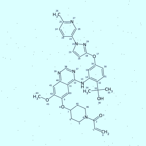 C=CC(=O)N1CCC(Oc2cc3c(Nc4cc(Oc5ccn(-c6ccc(C)nc6)n5)ccc4C(C)(C)O)ncnc3cc2OC)CC1